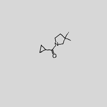 CC1(C)CCN(C(=O)C2CC2)C1